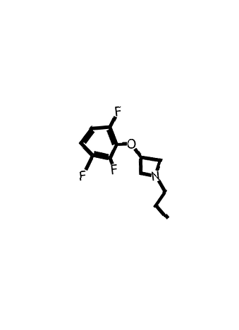 CCCN1CC(Oc2c(F)ccc(F)c2F)C1